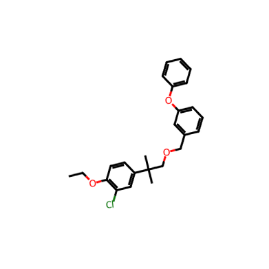 CCOc1ccc(C(C)(C)COCc2cccc(Oc3ccccc3)c2)cc1Cl